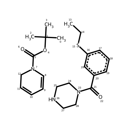 CC(C)(C)OC(=O)N1C=CC=CC1.CCSc1cccc(C(=O)N2CCNCC2)c1